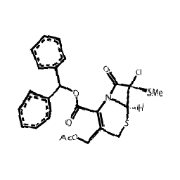 CS[C@]1(Cl)C(=O)N2C(C(=O)OC(c3ccccc3)c3ccccc3)=C(COC(C)=O)CS[C@@H]21